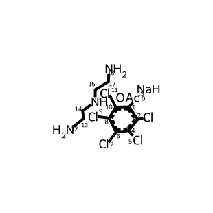 CC(=O)Oc1c(Cl)c(Cl)c(Cl)c(Cl)c1Cl.NCCNCCN.[NaH]